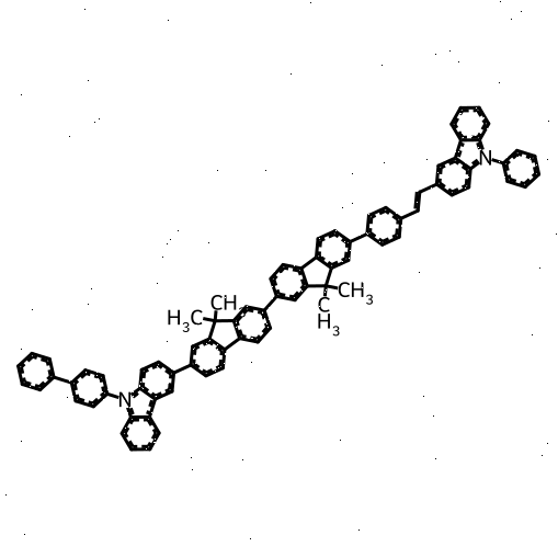 CC1(C)c2cc(-c3ccc(/C=C/c4ccc5c(c4)c4ccccc4n5-c4ccccc4)cc3)ccc2-c2ccc(-c3ccc4c(c3)C(C)(C)c3cc(-c5ccc6c(c5)c5ccccc5n6-c5ccc(-c6ccccc6)cc5)ccc3-4)cc21